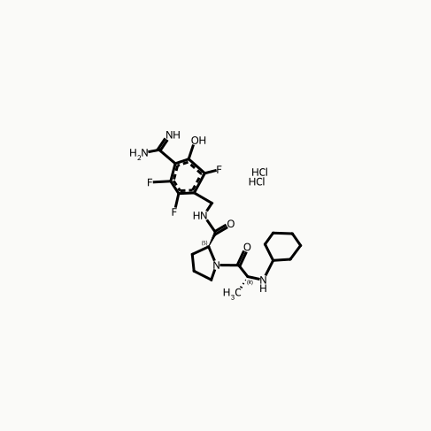 C[C@@H](NC1CCCCC1)C(=O)N1CCC[C@H]1C(=O)NCc1c(F)c(O)c(C(=N)N)c(F)c1F.Cl.Cl